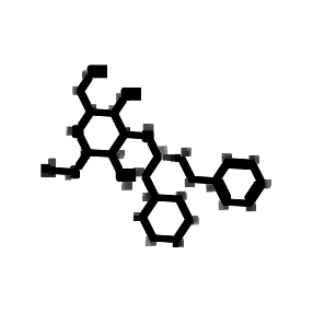 CCSC1OC(CO)C(O)C(O[C@H](CCc2ccccc2)CC2CCCCC2)C1O